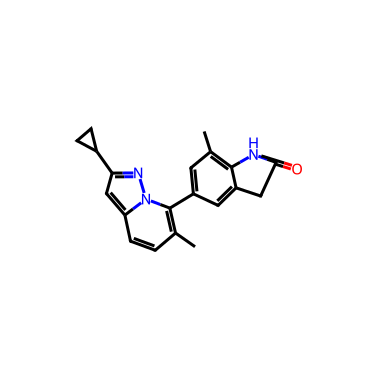 Cc1cc(-c2c(C)ccc3cc(C4CC4)nn23)cc2c1NC(=O)C2